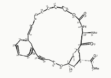 COC(=O)[C@@H]1C[C@@H]2CN1C(=O)[C@H](C(C)(C)C)NC(=O)OCCCCC/C=C/c1ccccc1C#CCO2